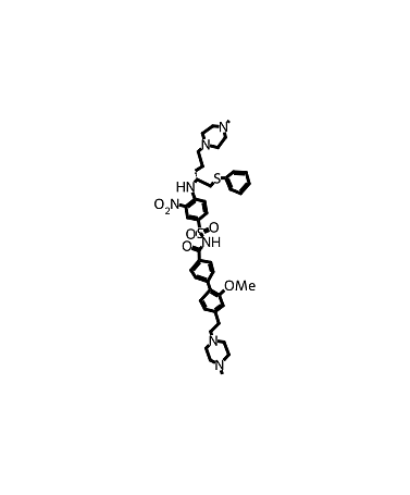 COc1cc(CCN2CCN(C)CC2)ccc1-c1ccc(C(=O)NS(=O)(=O)c2ccc(N[C@H](CCCN3CCN(C)CC3)CSc3ccccc3)c([N+](=O)[O-])c2)cc1